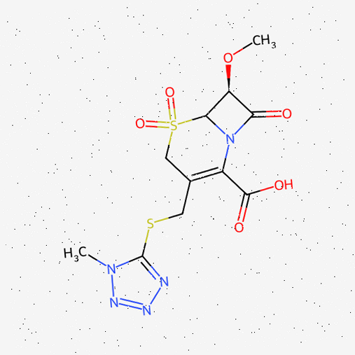 CO[C@H]1C(=O)N2C(C(=O)O)=C(CSc3nnnn3C)CS(=O)(=O)C12